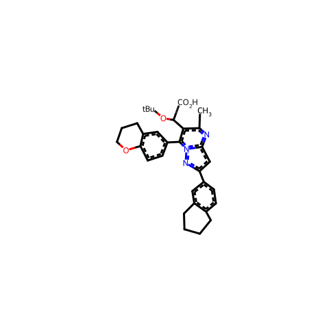 Cc1nc2cc(-c3ccc4c(c3)CCCC4)nn2c(-c2ccc3c(c2)CCCO3)c1C(OC(C)(C)C)C(=O)O